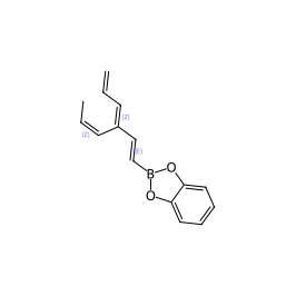 C=C/C=C(\C=C/C)/C=C/B1Oc2ccccc2O1